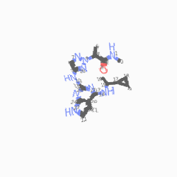 CNC(=O)C(C)n1ncc(Nc2nc(NC(C)C3CC3)c3cc[nH]c3n2)n1